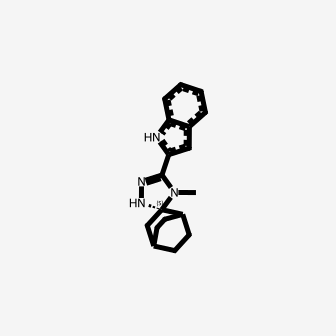 CN1C(c2cc3ccccc3[nH]2)=NN[C@]12CC1CCC2CC1